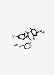 CC(=O)c1cc(F)c(-c2nc3cc(C)ccn3c2CC2CN(C(=O)O)CCO2)c(F)c1